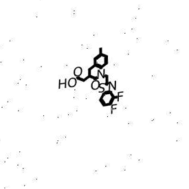 Cc1ccc2c(c1)CC(CC(=O)O)C(=O)N2Cc1nc2c(F)c(F)ccc2s1